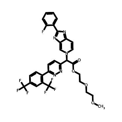 COCCOCCOC(=O)C(c1ccc(-c2ccc(C(F)(F)F)cc2C(F)(F)F)nn1)n1ccc2nc(-c3ccccc3F)nc-2c1